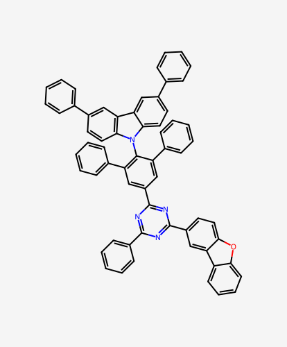 c1ccc(-c2ccc3c(c2)c2cc(-c4ccccc4)ccc2n3-c2c(-c3ccccc3)cc(-c3nc(-c4ccccc4)nc(-c4ccc5oc6ccccc6c5c4)n3)cc2-c2ccccc2)cc1